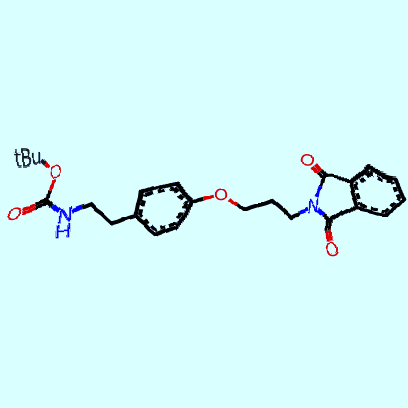 CC(C)(C)OC(=O)NCCc1ccc(OCCCN2C(=O)c3ccccc3C2=O)cc1